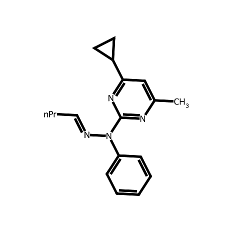 CCCC=NN(c1ccccc1)c1nc(C)cc(C2CC2)n1